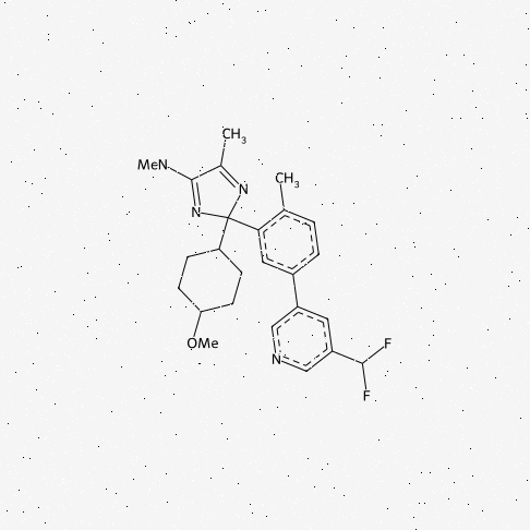 CNC1=NC(c2cc(-c3cncc(C(F)F)c3)ccc2C)(C2CCC(OC)CC2)N=C1C